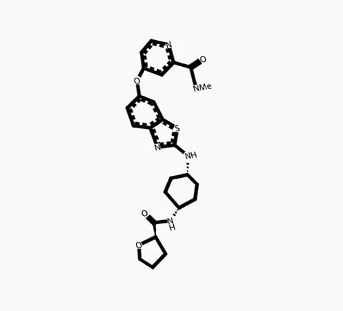 CNC(=O)c1cc(Oc2ccc3nc(N[C@H]4CC[C@@H](NC(=O)[C@H]5CCCO5)CC4)sc3c2)ccn1